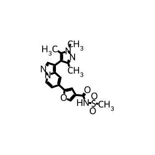 Cc1nn(C)c(C)c1-c1cnn2ccc(-c3cc(C(=O)NS(C)(=O)=O)co3)cc12